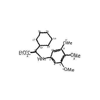 CCOC(=O)C(Nc1cc(OC)c(OC)c(OC)c1)C1CCCCC1